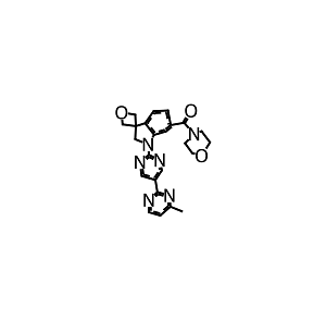 Cc1ccnc(-c2cnc(N3CC4(COC4)c4ccc(C(=O)N5CCOCC5)cc43)nc2)n1